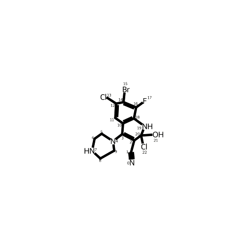 N#CC1=C(N2CCNCC2)c2cc(Cl)c(Br)c(F)c2NC1(O)Cl